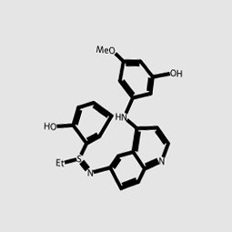 CCS(=Nc1ccc2nccc(Nc3cc(O)cc(OC)c3)c2c1)c1ccccc1O